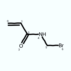 C=CC(=O)NCBr